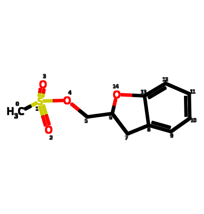 CS(=O)(=O)OCC1Cc2ccccc2O1